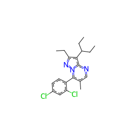 CCc1nn2c(-c3ccc(Cl)cc3Cl)c(C)cnc2c1C(CC)CC